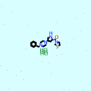 Cl.Cl.Cl.O=C([C@@H]1C[C@H](N2CCN(Cc3ccccc3)CC2)CN1)N1CCSC1